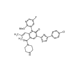 COc1ncc(F)cc1-n1c(C=C(C)C)c(C(=O)N2CCNCC2)cc(-c2nc(-c3ccc(Cl)cc3)cs2)c1=O